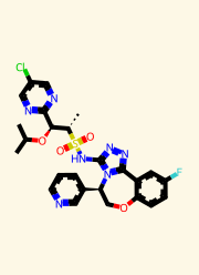 CC(C)O[C@@H](c1ncc(Cl)cn1)[C@H](C)S(=O)(=O)Nc1nnc2n1[C@H](c1cccnc1)COc1ccc(F)cc1-2